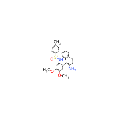 COc1cc(N[S+]([O-])c2ccc(C)cc2)c(-c2c(N)ccc3ccccc23)cc1OC